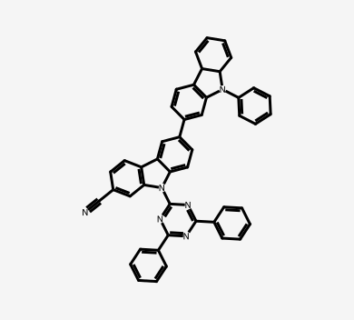 N#Cc1ccc2c3cc(-c4ccc5c(c4)N(c4ccccc4)C4C=CC=CC54)ccc3n(-c3nc(-c4ccccc4)nc(-c4ccccc4)n3)c2c1